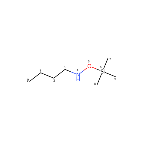 [CH2]CCCNO[Si](C)(C)C